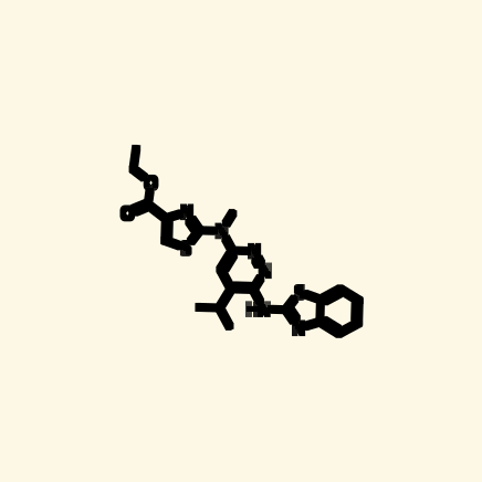 CCOC(=O)c1csc(N(C)c2cc(C(C)C)c(Nc3nc4ccccc4s3)nn2)n1